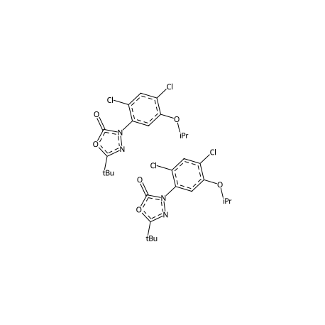 CC(C)Oc1cc(-n2nc(C(C)(C)C)oc2=O)c(Cl)cc1Cl.CC(C)Oc1cc(-n2nc(C(C)(C)C)oc2=O)c(Cl)cc1Cl